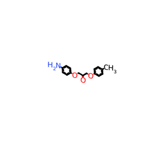 Cc1ccc(OCC(=O)COc2ccc(N)cc2)cc1